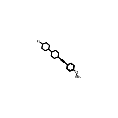 CCCCOc1ccc(C#CC2CCC(C3CCC(CC)CC3)CC2)cc1